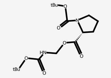 CC(C)(C)OC(=O)NCOC(=O)[C@H]1CCCN1C(=O)OC(C)(C)C